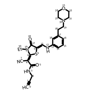 C#CCNC(=O)C(C#N)=c1sc(=CNc2cccc(CCN3CCOCC3)c2)c(=O)n1CC